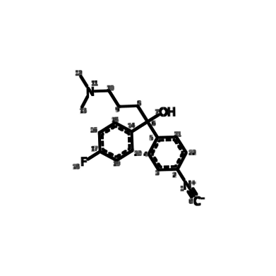 [C-]#[N+]c1ccc(C(O)(CCCN(C)C)c2ccc(F)cc2)cc1